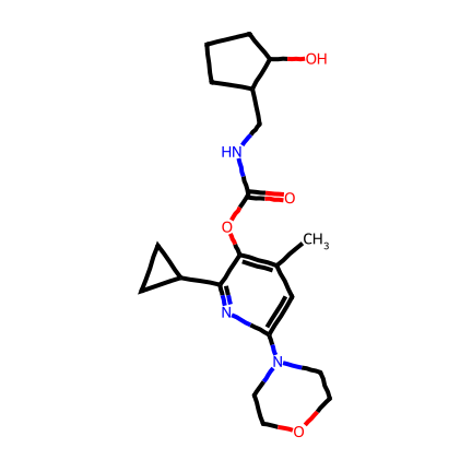 Cc1cc(N2CCOCC2)nc(C2CC2)c1OC(=O)NCC1CCCC1O